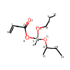 C=CC(=O)O[Si](C)(OCCC)OC(C)CC